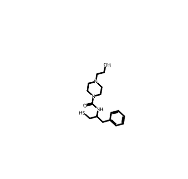 O=C(NC(CS)Cc1ccccc1)N1CCN(CCO)CC1